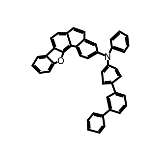 c1ccc(-c2cccc(-c3ccc(N(c4ccccc4)c4ccc5c(ccc6ccc7c8ccccc8oc7c65)c4)cc3)c2)cc1